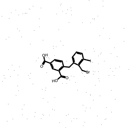 O=C(O)c1ccc(Cc2cccc(I)c2CBr)c(C(=O)O)c1